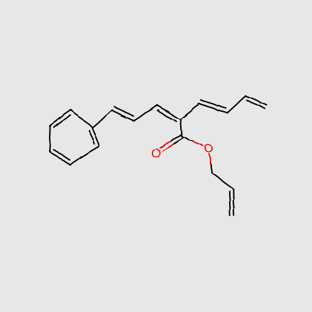 C=CC=CC(=CC=Cc1ccccc1)C(=O)OCC=C